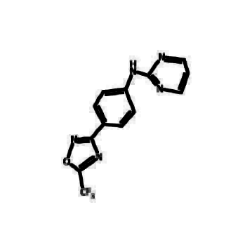 FC(F)(F)c1nc(-c2ccc(Nc3ncccn3)cc2)no1